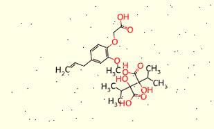 C=CCc1ccc(OCC(=O)O)c(OC)c1.CC(C)C(O)(C(=O)O)C(O)(C(=O)O)C(C)C